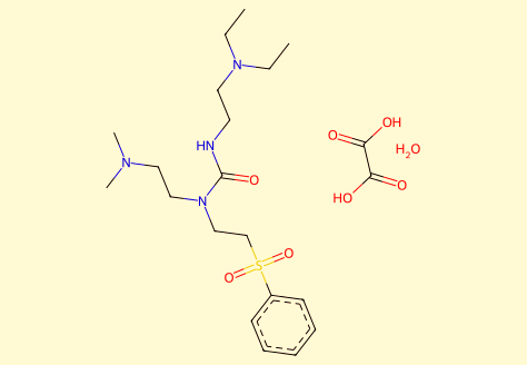 CCN(CC)CCNC(=O)N(CCN(C)C)CCS(=O)(=O)c1ccccc1.O.O=C(O)C(=O)O